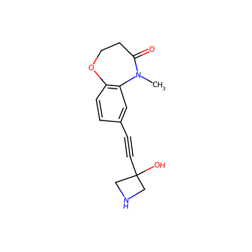 CN1C(=O)CCOc2ccc(C#CC3(O)CNC3)cc21